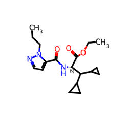 CCCn1nccc1C(=O)N[C@H](C(=O)OCC)C(C1CC1)C1CC1